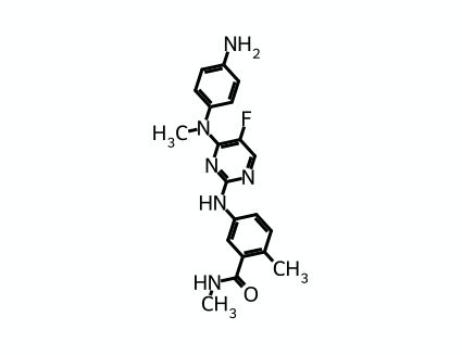 CNC(=O)c1cc(Nc2ncc(F)c(N(C)c3ccc(N)cc3)n2)ccc1C